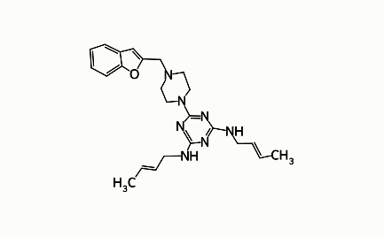 C/C=C/CNc1nc(NC/C=C/C)nc(N2CCN(Cc3cc4ccccc4o3)CC2)n1